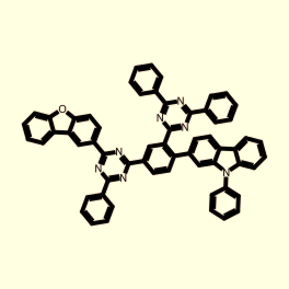 c1ccc(-c2nc(-c3ccc(-c4ccc5c6ccccc6n(-c6ccccc6)c5c4)c(-c4nc(-c5ccccc5)nc(-c5ccccc5)n4)c3)nc(-c3ccc4oc5ccccc5c4c3)n2)cc1